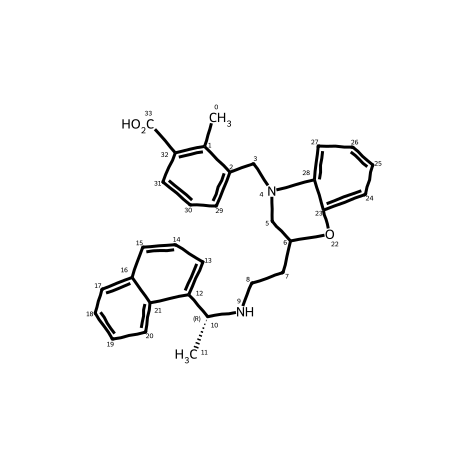 Cc1c(CN2CC(CCN[C@H](C)c3cccc4ccccc34)Oc3ccccc32)cccc1C(=O)O